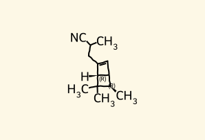 CC(C#N)CC1=CC2[C@@H](C)C(C)(C)[C@H]12